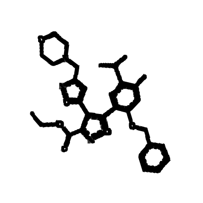 CCOC(=O)c1noc(-c2cc(C(C)C)c(C)cc2OCc2ccccc2)c1-c1cc(CN2CCOCC2)no1